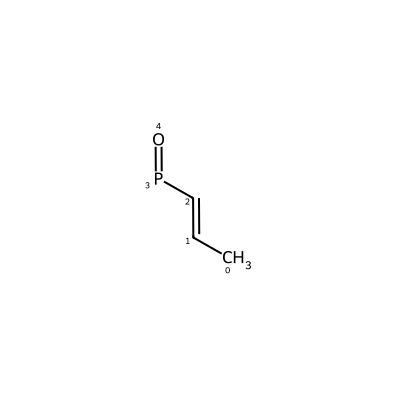 CC=CP=O